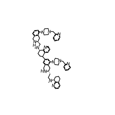 CN(CC[C@H]1Cc2c(cc(C3CC[C@H](N(C)C[C@@H]4Cc5c(cccc5N5CCN(Cc6ccccn6)CC5)CN4)c4ncccc43)cc2N2CCN(Cc3ccccn3)CC2)CN1)[C@H]1CCCc2cccnc21